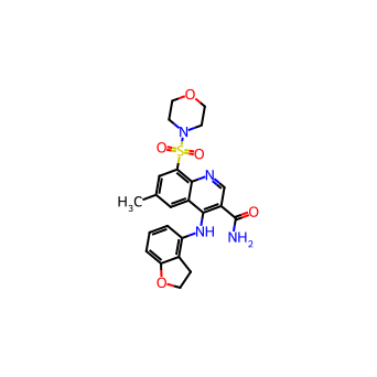 Cc1cc(S(=O)(=O)N2CCOCC2)c2ncc(C(N)=O)c(Nc3cccc4c3CCO4)c2c1